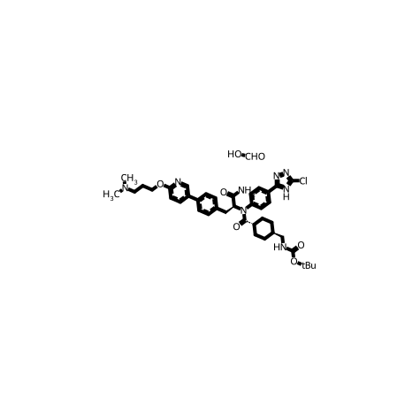 CN(C)CCCOc1ccc(-c2ccc(C[C@@H](C(N)=O)N(c3ccc(-c4nnc(Cl)[nH]4)cc3)C(=O)[C@H]3CC[C@H](CNC(=O)OC(C)(C)C)CC3)cc2)cn1.O=CO